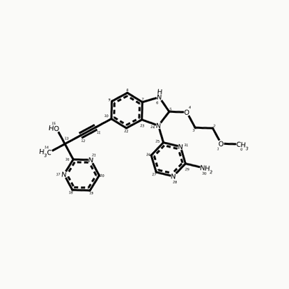 COCCOC1Nc2ccc(C#CC(C)(O)c3ncccn3)cc2N1c1ccnc(N)n1